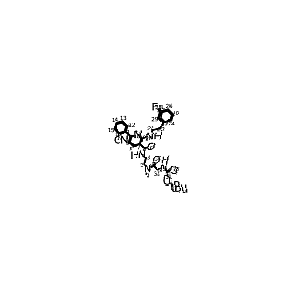 CN(CCNC(=O)c1ccc(-c2ccccc2C#N)nc1NCCc1cccc(F)c1)C(=O)CNC(=O)OC(C)(C)C